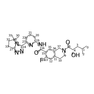 CC(C)C[C@H](O)C(=O)N1CCc2cc(F)c(C(=O)Nc3cccc(-c4nnc5n4C(C)(C)CC5)n3)cc2C1